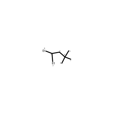 CCC(CC)CC(C)(C)C